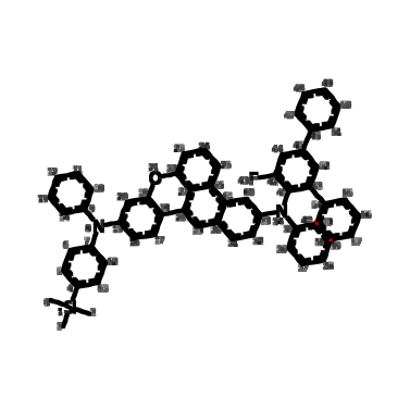 C[Si](C)(C)c1ccc(N(c2ccccc2)c2ccc3c(c2)Oc2cccc4c2c-3cc2ccc(N(c3ccccc3)c3c(F)cc(-c5ccccc5)cc3-c3ccccc3)cc24)cc1